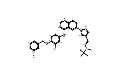 CC(C)(C)[S+]([O-])N=Cc1cnc(-c2ccc3ncnc(Nc4ccc(OCc5cccc(F)c5)c(Cl)c4)c3c2)s1